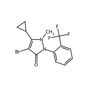 Cn1c(C2CC2)c(Br)c(=O)n1-c1ccccc1C(F)(F)F